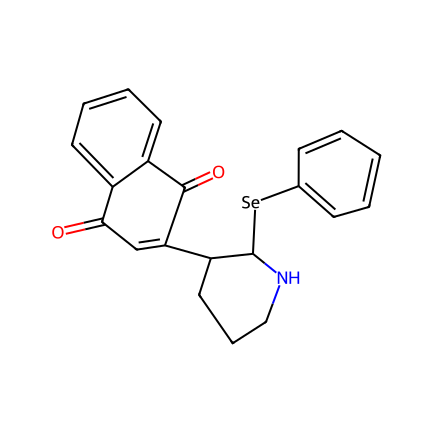 O=C1C=C(C2CCCNC2[Se]c2ccccc2)C(=O)c2ccccc21